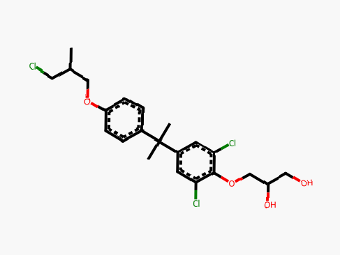 CC(CCl)COc1ccc(C(C)(C)c2cc(Cl)c(OCC(O)CO)c(Cl)c2)cc1